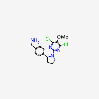 COc1c(Cl)nc(N2CCCC2c2ccc(CN)cc2)nc1Cl